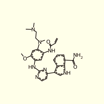 C=CC(=O)Nc1cc(Nc2nccc(-c3c[nH]c4c(C(N)=O)cccc34)n2)c(OC)cc1N(C)CCN(C)C